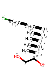 C=C.C=C.C=C.C=C.C=C.C=C.CCl.OCCO